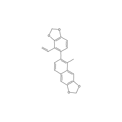 C=Cc1c(-c2ccc3cc4c(cc3c2C)OCO4)ccc2c1OCO2